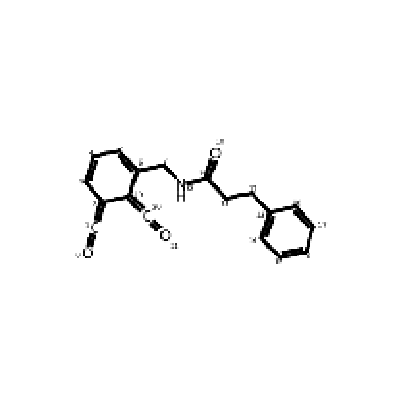 O=C=c1cccc(CNC(=O)CCc2ccccc2)c1=C=O